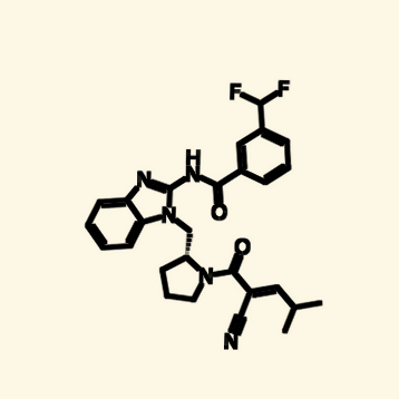 CC(C)C=C(C#N)C(=O)N1CCC[C@@H]1Cn1c(NC(=O)c2cccc(C(F)F)c2)nc2ccccc21